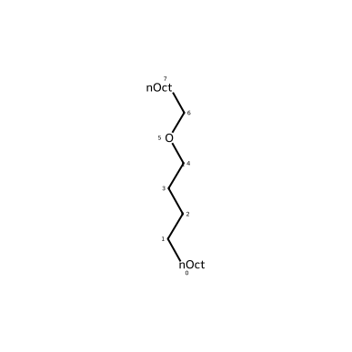 CCCCCCCCCCC[CH]OCCCCCCCCC